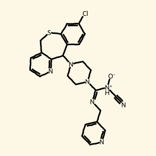 N#C[NH+]([O-])C(=NCc1cccnc1)N1CCN(C2c3ccc(Cl)cc3SCc3cccnc32)CC1